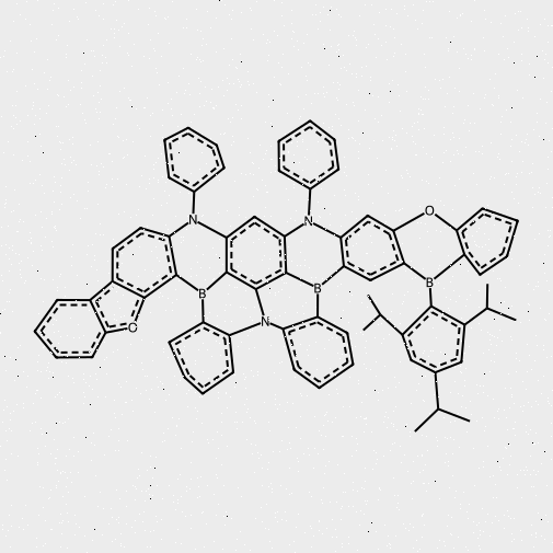 CC(C)c1cc(C(C)C)c(B2c3ccccc3Oc3cc4c(cc32)B2c3ccccc3N3c5ccccc5B5c6c(cc(c2c63)N4c2ccccc2)N(c2ccccc2)c2ccc3c(oc4ccccc43)c25)c(C(C)C)c1